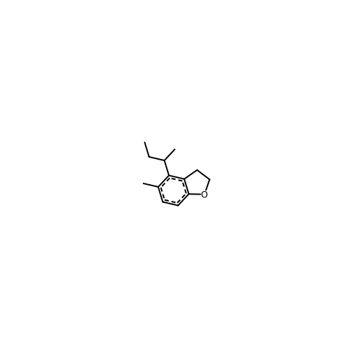 CCC(C)c1c(C)ccc2c1CCO2